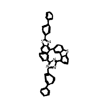 c1ccc(-c2ccc(-c3nc(-c4ccccc4)nc(-c4cccc5sc6ccc(-c7cccc8sc(-c9ccc(-c%10ccccc%10)cc9)nc78)cc6c45)n3)cc2)cc1